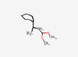 COC(OC)[SiH2]C(C)C1CCCC1